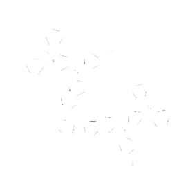 CC(C)c1ccc(N(c2ccc3cc4c(cc3c2)oc2ccc3oc5cc6cc(N(c7ccc(C(C)C)cc7)c7cc8c9ccccc9n9c%10ccccc%10c(c7)c89)ccc6cc5c3c24)c2cc3c4ccccc4n4c5ccccc5c(c2)c34)cc1